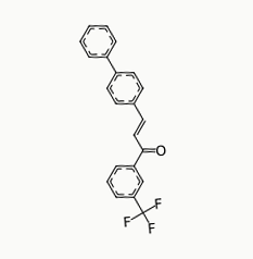 O=C(/C=C/c1ccc(-c2ccccc2)cc1)c1cccc(C(F)(F)F)c1